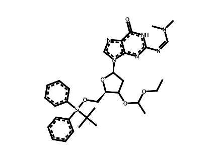 CCOC(C)OC1C[C@H](n2cnc3c(=O)[nH]c(/N=C\N(C)C)nc32)O[C@@H]1CO[Si](c1ccccc1)(c1ccccc1)C(C)(C)C